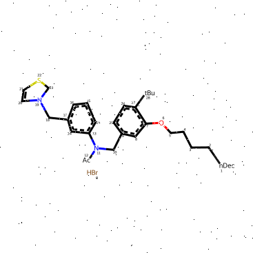 Br.CCCCCCCCCCCCCCOc1cc(CN(C(C)=O)c2cccc(CN3C=CSC3)c2)ccc1C(C)(C)C